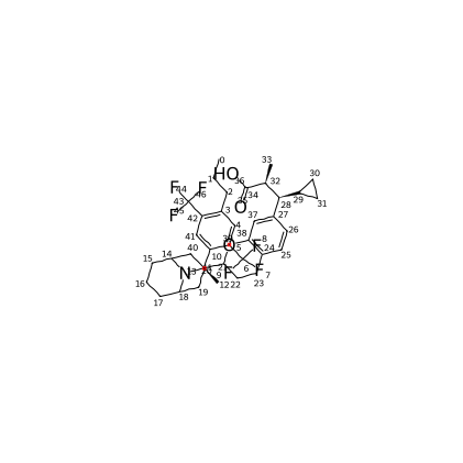 CCCc1cc(C(F)(F)F)c([C@@H](C)N2C3CCCC2CC(C2CCc4ccc([C@H](C5CC5)[C@H](C)C(=O)O)cc4O2)C3)cc1C(F)(F)F